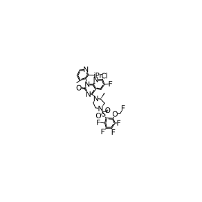 Cc1ccnc(C(C)C)c1-n1c(=O)nc(N2CCN(S(=O)(=O)c3c(F)c(F)c(F)c(F)c3OCF)C[C@@H]2C)c2cc(F)c(Cl)nc21